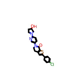 O=C1c2sc(-c3ccc(Cl)cc3)cc2CCN1c1ccc(N2CCC(O)C2)nc1